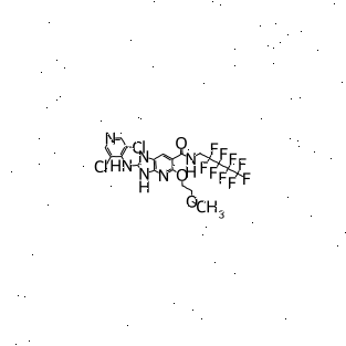 COCCOc1nc2[nH]c(Nc3c(Cl)cncc3Cl)nc2cc1C(=O)NCC(F)(F)C(F)(F)C(F)(F)C(F)(F)F